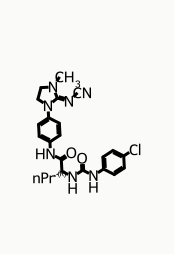 CCC[C@@H](NC(=O)Nc1ccc(Cl)cc1)C(=O)Nc1ccc(N2CCN(C)C2=NC#N)cc1